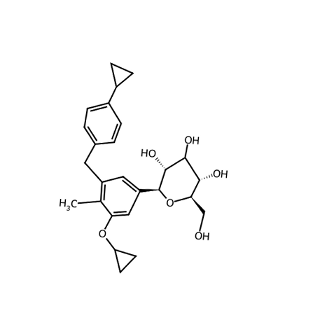 Cc1c(Cc2ccc(C3CC3)cc2)cc([C@@H]2O[C@H](CO)[C@@H](O)C(O)[C@H]2O)cc1OC1CC1